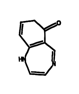 O=C1CC=CC2=C1C=NC=CN2